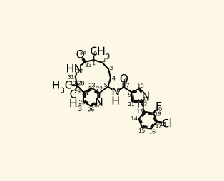 CC1CCCC(NC(=O)c2cnn(-c3cccc(Cl)c3F)c2)c2cc(ccn2)C(C)(C)CNC1=O